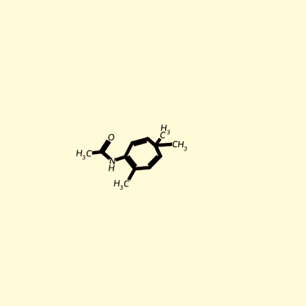 CC(=O)NC1=C(C)C=CC(C)(C)C=C1